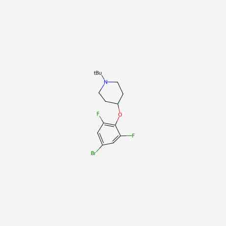 CC(C)(C)N1CCC(Oc2c(F)cc(Br)cc2F)CC1